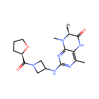 Cc1nc(NC2CN(C(=O)[C@H]3CCCO3)C2)nc2c1NC(=O)[C@H](C(C)C)N2C